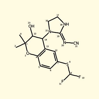 CC1(C)Oc2ccc(SC(F)F)cc2C(N2CCN/C2=N\C#N)C1O